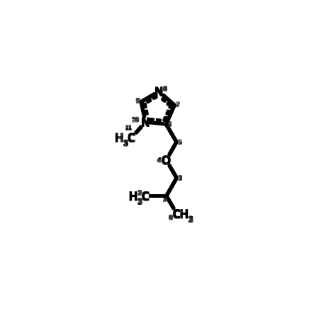 CC(C)COCc1cncn1C